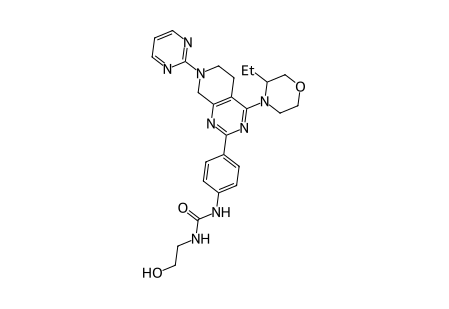 CCC1COCCN1c1nc(-c2ccc(NC(=O)NCCO)cc2)nc2c1CCN(c1ncccn1)C2